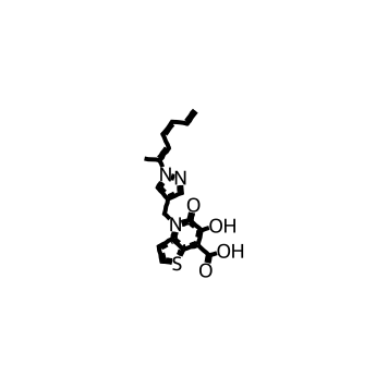 C=C/C=C\C=C(/C)n1cc(Cn2c(=O)c(O)c(C(=O)O)c3sccc32)cn1